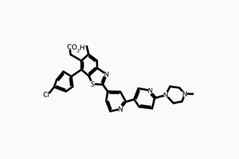 Cc1cc2nc(-c3ccnc(-c4ccc(N5CCN(C)CC5)nc4)c3)sc2c(-c2ccc(Cl)cc2)c1CC(=O)O